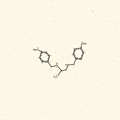 COc1ccc(CNCC(C)NCc2ccc(OC)cc2)cc1